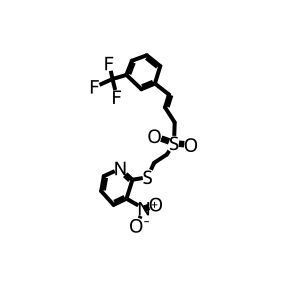 O=[N+]([O-])c1cccnc1SCCS(=O)(=O)CC=Cc1cccc(C(F)(F)F)c1